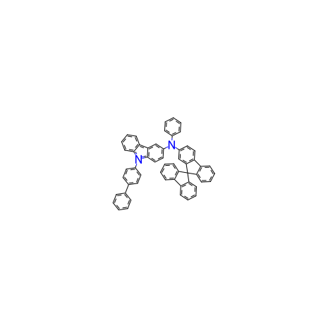 c1ccc(-c2ccc(-n3c4ccccc4c4cc(N(c5ccccc5)c5ccc6c(c5)C5(c7ccccc7-c7ccccc75)c5ccccc5-6)ccc43)cc2)cc1